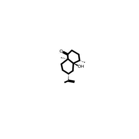 C=C(C)[C@@H]1CC[C@@]2(C)C(=O)CC[C@H](C)[C@]2(O)C1